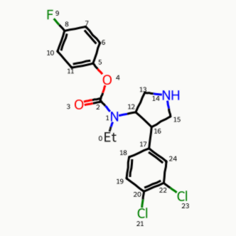 CCN(C(=O)Oc1ccc(F)cc1)C1CNCC1c1ccc(Cl)c(Cl)c1